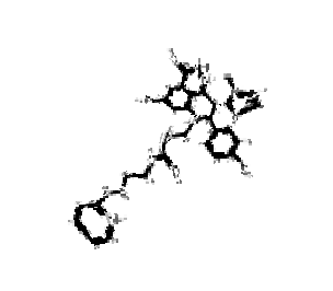 Cn1ncnc1[C@H]1c2n[nH]c(=O)c3cc(F)cc(c23)N(CNC(=O)OCCSSc2ccccn2)C1c1ccc(F)cc1